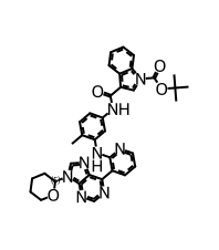 Cc1ccc(NC(=O)c2cn(C(=O)OC(C)(C)C)c3ccccc23)cc1Nc1ncccc1-c1ncnc2c1ncn2[C@@H]1CCCCO1